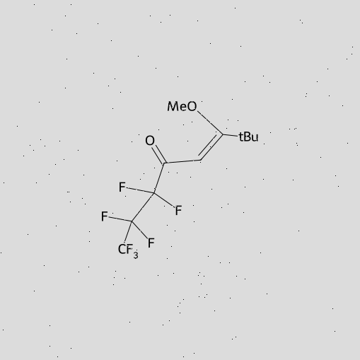 CO/C(=C\C(=O)C(F)(F)C(F)(F)C(F)(F)F)C(C)(C)C